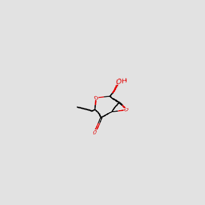 CC1OC(O)C2OC2C1=O